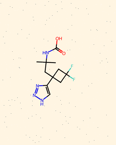 CC(C)(CC1(c2c[nH]nn2)CC(F)(F)C1)NC(=O)O